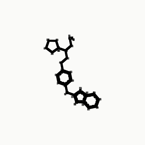 CCC(CCc1ccc(Oc2nc3ccccc3s2)cc1)N1CCCC1